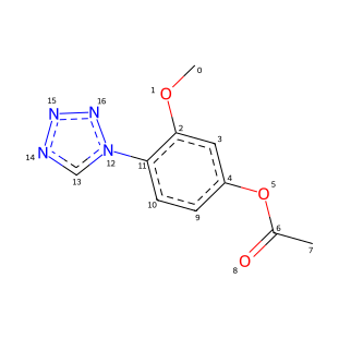 COc1cc(OC(C)=O)ccc1-n1cnnn1